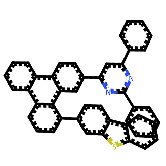 c1ccc(-c2cc(-c3ccc4c5ccccc5c5cccc(-c6ccc7c(c6)sc6ccccc67)c5c4c3)nc(-c3ccccc3)n2)cc1